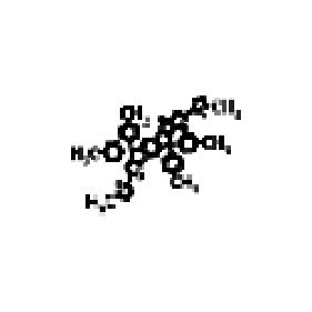 Cc1ccc(C2(c3ccc(C)cc3)c3cc4c(cc3-c3sc(-c5ccc(C)s5)cc32)C(c2ccc(C)cc2)(c2ccc(C)cc2)c2c-4sc3cc(-c4ccc(C)s4)sc23)cc1